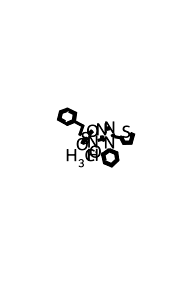 COc1ccccc1-n1c(NS(=O)(=O)CCc2ccccc2)nnc1-c1cccs1